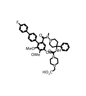 COc1cc(C(=O)N(C)N2CCC(NC(=O)N3CCN(CC(=O)O)CC3)(c3ccccc3)CC2)c(-c2ccc(-c3ccc(F)cc3)cc2)c(OC)c1OC